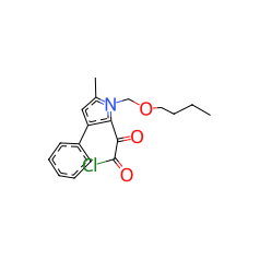 CCCCOCn1c(C)cc(-c2ccccc2)c1C(=O)C(=O)Cl